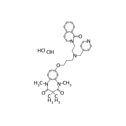 CN1C(=O)C(C)(C)C(=O)N(C)c2cc(OCCCN(CCn3ccc4ccccc4c3=O)Cc3ccncc3)ccc21.Cl.Cl